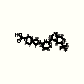 O=C(O)N1CCC2(CC1)CN(c1ccnc(-c3cnc4cnc(C(F)(F)F)cn34)n1)C2